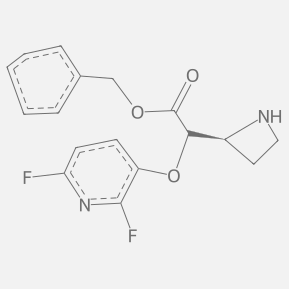 O=C(OCc1ccccc1)C(Oc1ccc(F)nc1F)[C@@H]1CCN1